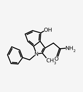 Cc1c(CC(N)=O)c2c(O)cccc2n1Cc1ccccc1